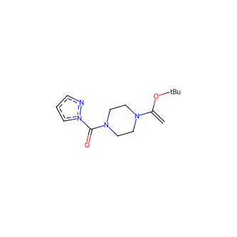 C=C(OC(C)(C)C)N1CCN(C(=O)n2cccn2)CC1